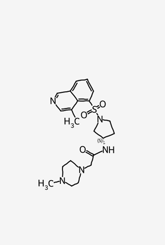 Cc1cncc2cccc(S(=O)(=O)N3CC[C@H](NC(=O)CN4CCN(C)CC4)C3)c12